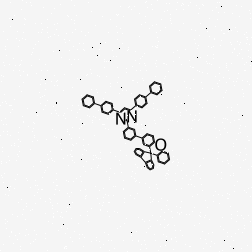 c1ccc(-c2ccc(-c3cc(-c4ccc(-c5ccccc5)cc4)nc(-c4cccc(-c5ccc6c(c5)C5(c7ccccc7O6)c6ccccc6-c6ccccc65)c4)n3)cc2)cc1